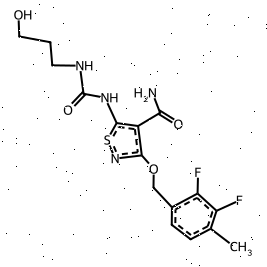 Cc1ccc(COc2nsc(NC(=O)NCCCO)c2C(N)=O)c(F)c1F